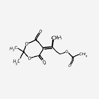 CC(=O)OCC(O)=C1C(=O)OC(C)(C)OC1=O